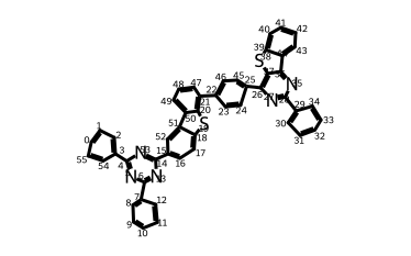 c1ccc(-c2nc(-c3ccccc3)nc(-c3ccc4sc5c(-c6ccc(-c7nc(-c8ccccc8)nc8c7sc7ccccc78)cc6)cccc5c4c3)n2)cc1